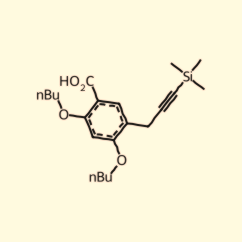 CCCCOc1cc(OCCCC)c(C(=O)O)cc1CC#C[Si](C)(C)C